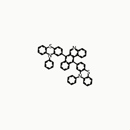 c1ccc(N2c3ccccc3Sc3ccc(-c4c5ccccc5c(-c5ccc6c(c5)N(c5ccccc5)c5ccccc5S6)c5c4cnc4ccccc45)cc32)cc1